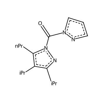 CCCc1c(C(C)C)c(C(C)C)nn1C(=O)n1cccn1